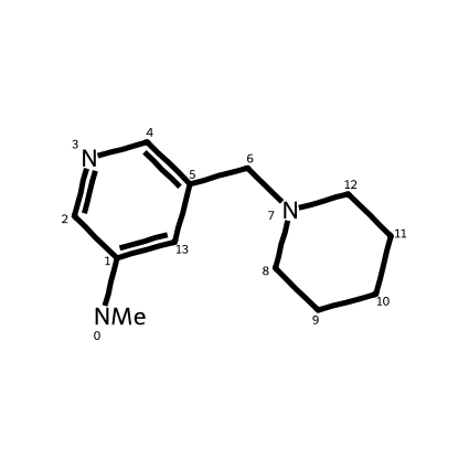 CNc1cncc(CN2CCCCC2)c1